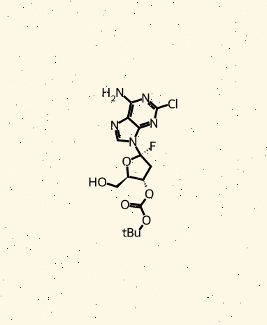 CC(C)(C)OC(=O)O[C@H]1C[C@](F)(n2cnc3c(N)nc(Cl)nc32)O[C@@H]1CO